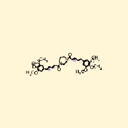 COc1cc(/C=C/C=C/C(=O)N2CCCN(C(=O)/C=C/C=C/c3cc(OC)c(OC)c(OC)c3)CC2)cc(OC)c1OC